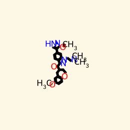 COc1ccc2c(c1)CC(C(=O)c1nn(CCN(C)C)c3cc(-c4c[nH]nc4OC)ccc13)CCO2